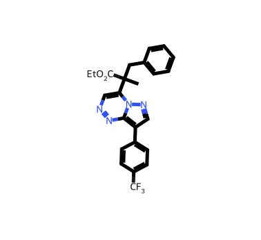 CCOC(=O)C(C)(Cc1ccccc1)c1cnnc2c(-c3ccc(C(F)(F)F)cc3)cnn12